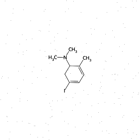 CC1=CC=C(I)CC1N(C)C